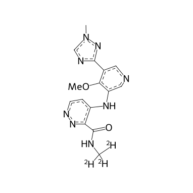 [2H]C([2H])([2H])NC(=O)c1nnccc1Nc1cncc(-c2ncn(C)n2)c1OC